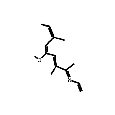 C=C/N=C(C)/C(C)=C/C(=C\C(C)=C/C)OC